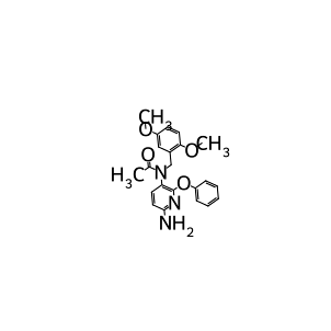 COc1ccc(OC)c(CN(C(C)=O)c2ccc(N)nc2Oc2ccccc2)c1